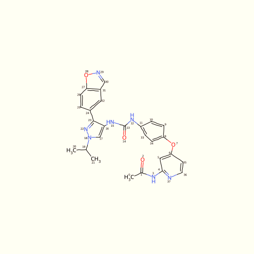 CC(=O)Nc1cc(Oc2ccc(NC(=O)Nc3cn(C(C)C)nc3-c3ccc4oncc4c3)cc2)ccn1